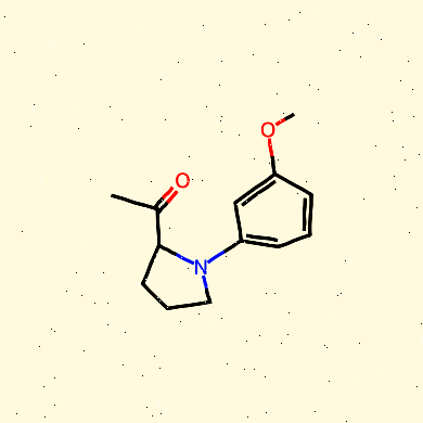 COc1cccc(N2CCCC2C(C)=O)c1